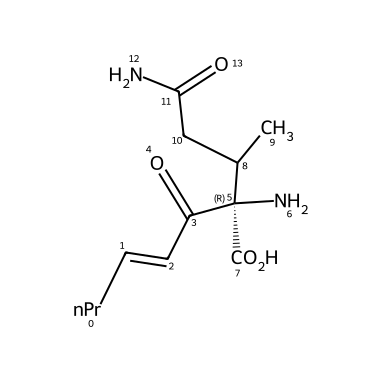 CCCC=CC(=O)[C@@](N)(C(=O)O)C(C)CC(N)=O